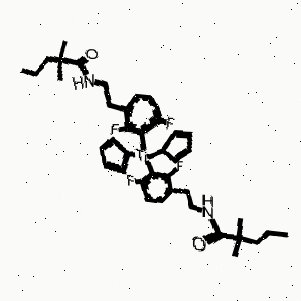 CCCC(C)(C)C(=O)NCCc1ccc(F)[c]([Ti]([c]2c(F)ccc(CCNC(=O)C(C)(C)CCC)c2F)([CH]2C=CC=C2)[CH]2C=CC=C2)c1F